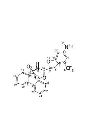 CN(C)c1cc(C(F)(F)F)c2cc(C(=O)NS(=O)(=O)c3ccccc3-c3ccccc3)oc2c1